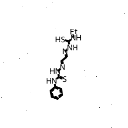 CCNC(S)N/N=C/C=N/NC(=S)Nc1ccccc1